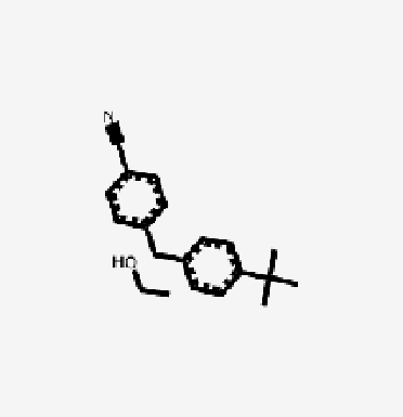 CC(C)(C)c1ccc(Cc2ccc(C#N)cc2)cc1.CCO